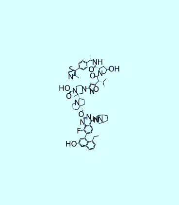 CCc1cccc2cc(O)cc(-c3ccc4c(N5CC6CCC(C5)N6)nc(OC[C@]56CCCN5[C@H](C5(C)CN(c7cc([C@H](C(=O)N8C[C@H](O)C[C@H]8C(=O)N[C@@H](C)c8ccc(-c9scnc9C)cc8)C(C)C)on7)CCN5C(=O)O)CC6)nc4c3F)c12